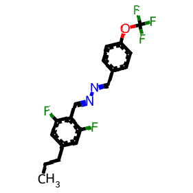 CCCc1cc(F)c(C=NN=Cc2ccc(OC(F)(F)F)cc2)c(F)c1